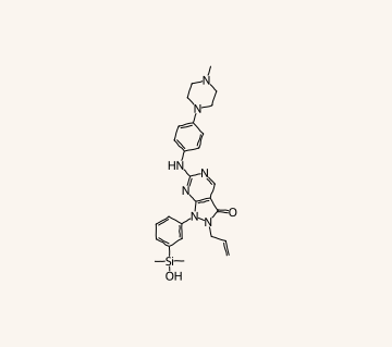 C=CCn1c(=O)c2cnc(Nc3ccc(N4CCN(C)CC4)cc3)nc2n1-c1cccc([Si](C)(C)O)c1